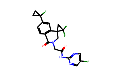 O=C(CN1CC2(CC2(F)F)c2cc(C3(F)CC3)ccc2C1=O)Nc1ncc(F)cn1